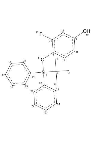 CC(C)(C)[Si](Oc1ccc(O)cc1F)(c1ccccc1)c1ccccc1